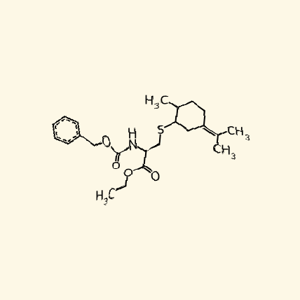 CCOC(=O)[C@H](CSC1CC(=C(C)C)CCC1C)NC(=O)OCc1ccccc1